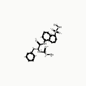 CCNS(=O)(=O)c1cccc2c(NC(=O)[C@H](Cc3ccccc3)NC(=O)OC(C)(C)C)cccc12